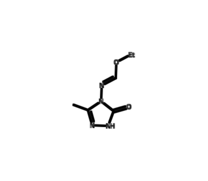 CCOC=Nn1c(C)n[nH]c1=O